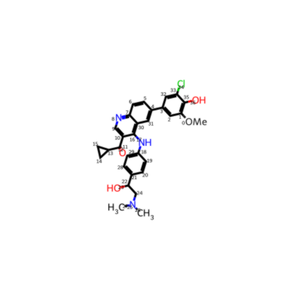 COc1cc(-c2ccc3ncc(C(=O)C4CC4)c(Nc4ccc(C(O)CN(C)C)cc4)c3c2)cc(Cl)c1O